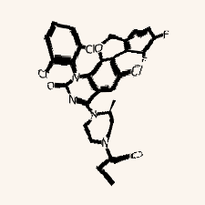 C=CC(=O)N1CCN(c2nc(=O)n(-c3c(Cl)cccc3Cl)c3c4c(c(Cl)cc23)-c2c(ccc(F)c2F)CO4)[C@@H](C)C1